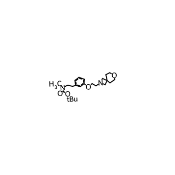 CN(CCc1cccc(OCCN2CC3(CCOCC3)C2)c1)C(=O)OC(C)(C)C